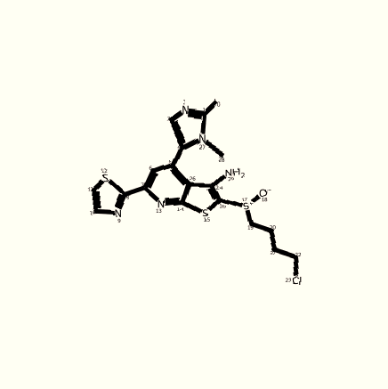 Cc1ncc(-c2cc(-c3nccs3)nc3sc([S+]([O-])CCCCCl)c(N)c23)n1C